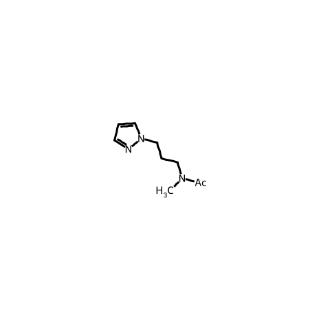 CC(=O)N(C)CCCn1cccn1